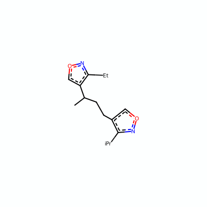 CCc1nocc1C(C)CCc1conc1C(C)C